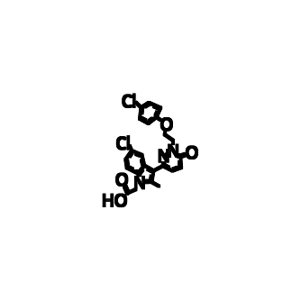 Cc1c(-c2ccc(=O)n(CCOc3ccc(Cl)cc3)n2)c2cc(Cl)ccc2n1CC(=O)O